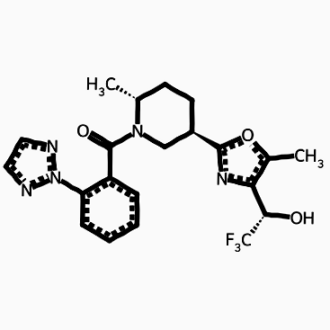 Cc1oc([C@@H]2CC[C@@H](C)N(C(=O)c3ccccc3-n3nccn3)C2)nc1[C@H](O)C(F)(F)F